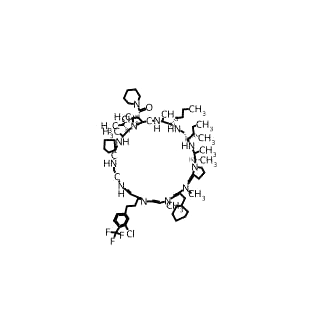 CCCC[C@@H]1NC[C@H]([C@@H](C)CC)NC(C)[C@H](C)N2CCCC2=CN(C)C(CC2CCCCC2)=CN(C)C=CN=C(CCc2ccc(C(F)(F)F)c(Cl)c2)C=CNCCNCC2(CCCC2)NC(C)[C@H](C(C)C)N2C(C)[C@H](C(=O)N3CCCCC3)C2CNC1C